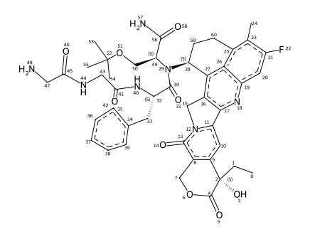 CC[C@@]1(O)C(=O)OCc2c1cc1n(c2=O)Cc2c-1nc1cc(F)c(C)c3c1c2[C@@H](N(C(=O)[C@H](Cc1ccccc1)NC(=O)CNC(=O)CN)[C@@H](COC(C)(C)C)C(N)=O)CC3